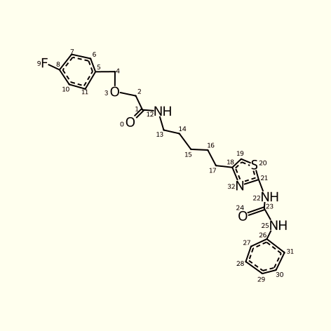 O=C(COCc1ccc(F)cc1)NCCCCCc1csc(NC(=O)Nc2ccccc2)n1